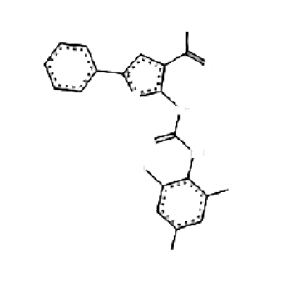 O=C(Nc1sc(-c2ccccc2)cc1C(=O)O)Nc1c(Cl)cc(Cl)cc1Cl